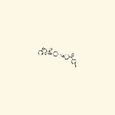 O=C(c1ccc(F)cc1)C1CCN(CC[C@H]2CC[C@H](NC(=O)C3COc4ccccc4O3)CC2)CC1